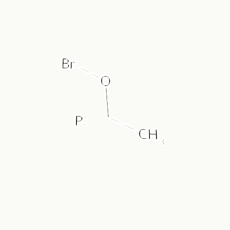 CCOBr.[P]